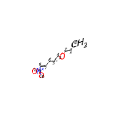 C=CCOC[CH]C/C=C/[N+](=O)[O-]